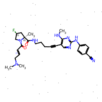 CNc1nc(Nc2ccc(C#N)cc2)ncc1C#CCCCNC(=O)[C@]1(C)C[C@H](F)CN1C(=O)/C=C/CN(C)C